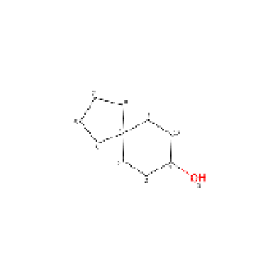 OC1CCC2(CCCC2)CC1